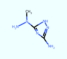 CN(N)c1nc(N)n[nH]1